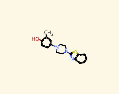 Cc1cc(N2CCN(c3nc4ccccc4s3)CC2)ccc1O